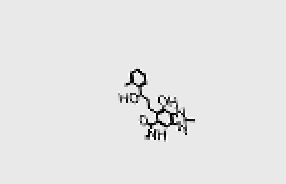 CNC(=O)c1cc2c(nc(C)n2C)c(O)c1CCC(O)c1ccccc1C